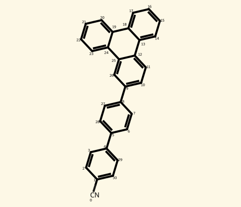 N#Cc1ccc(-c2ccc(-c3ccc4c5ccccc5c5ccccc5c4c3)cc2)cc1